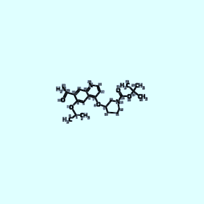 CC(C)Oc1cc2c(OC3CCCN(C(=O)OC(C)(C)C)C3)ccnc2cc1C(N)=O